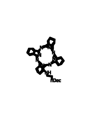 CCCCCCCCCCCCNc1cccc2c3nc4nc(nc5[nH]c(nc6nc(nc([nH]3)c12)-c1ccccc1-6)c1ccccc51)-c1ccccc1-4